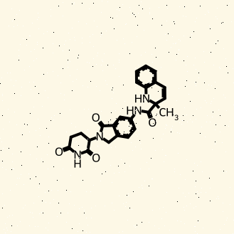 CC1(C(=O)Nc2ccc3c(c2)C(=O)N(C2CCC(=O)NC2=O)C3)C=Cc2ccccc2N1